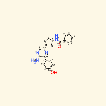 Nc1ncc(C2CCC(NC(=O)c3ccccc3)C2)nc1-c1ccc(O)cc1